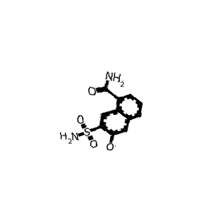 NC(=O)c1cccc2cc([O])c(S(N)(=O)=O)cc12